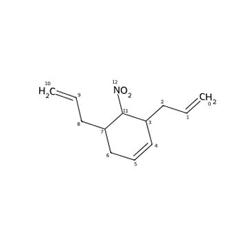 C=CCC1C=CCC(CC=C)C1[N+](=O)[O-]